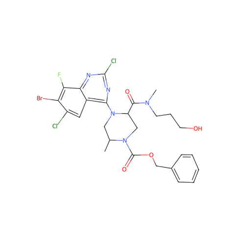 CC1CN(c2nc(Cl)nc3c(F)c(Br)c(Cl)cc23)C(C(=O)N(C)CCCO)CN1C(=O)OCc1ccccc1